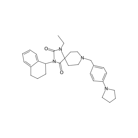 CCN1C(=O)N(C2CCCc3ccccc32)C(=O)C12CCN(Cc1ccc(N3CCCC3)cc1)CC2